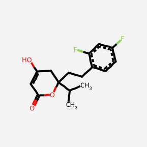 CC(C)C1(CCc2ccc(F)cc2F)CC(O)=CC(=O)O1